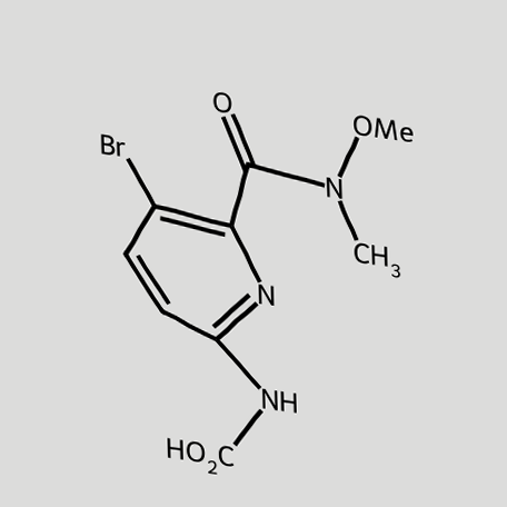 CON(C)C(=O)c1nc(NC(=O)O)ccc1Br